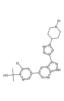 CCc1cc(-c2cnc3[nH]cc(-c4cnn(C5CCN(CC)CC5)c4)c3c2)cnc1C(C)(C)O